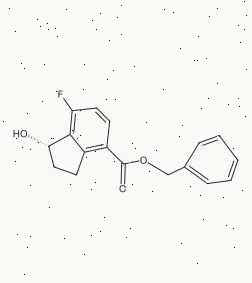 O=C(OCc1ccccc1)c1ccc(F)c2c1CC[C@@H]2O